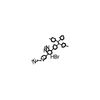 Br.Cc1ccc(C(=C(c2ccc(C)cc2)c2ccc(-c3ccc(-c4cc[n+](CCC[N+](C)(C)C)cc4)c4nsnc34)cc2)c2ccccc2)cc1